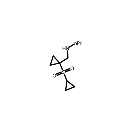 CCCNCC1(S(=O)(=O)C2CC2)CC1